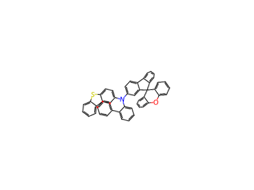 c1ccc(-c2ccccc2N(c2ccc3c(c2)C2(c4ccccc4Oc4ccccc42)c2ccccc2-3)c2ccc3sc4ccccc4c3c2)cc1